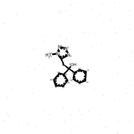 Cn1nnnc1CC(O)(c1ccccc1)c1ccccc1